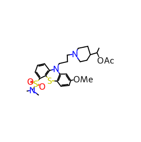 COc1ccc2c(c1)N(CCCN1CCC(C(C)OC(C)=O)CC1)c1cccc(S(=O)(=O)N(C)C)c1S2